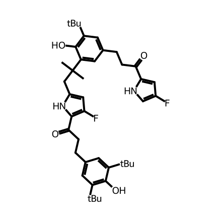 CC(C)(C)c1cc(CCC(=O)c2[nH]c(CC(C)(C)c3cc(CCC(=O)c4cc(F)c[nH]4)cc(C(C)(C)C)c3O)cc2F)cc(C(C)(C)C)c1O